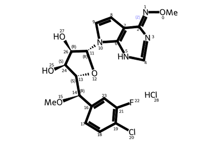 CO/N=c1\nc[nH]c2c1ccn2[C@@H]1O[C@H]([C@H](OC)c2ccc(Cl)c(F)c2)[C@@H](O)[C@H]1O.Cl